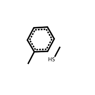 CS.Cc1ccccc1